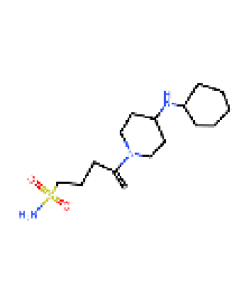 C=C(CCCS(N)(=O)=O)N1CCC(NC2CCCCC2)CC1